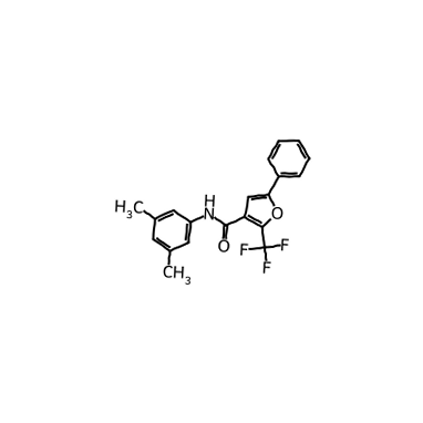 Cc1cc(C)cc(NC(=O)c2cc(-c3ccccc3)oc2C(F)(F)F)c1